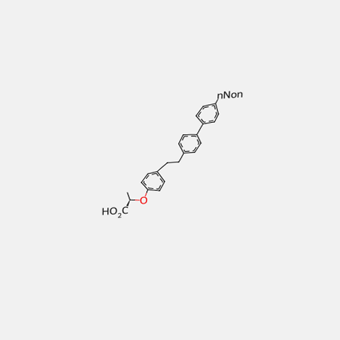 CCCCCCCCCc1ccc(-c2ccc(CCc3ccc(O[C@H](C)C(=O)O)cc3)cc2)cc1